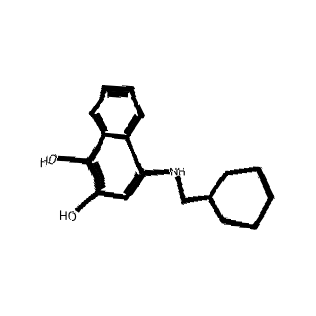 Oc1cc(NCC2CCCCC2)c2ccccc2c1O